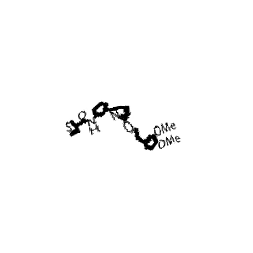 COc1ccc(CCOc2cccc(-c3cccc(NC(=O)c4ccsc4)c3)n2)cc1OC